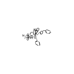 CS(=O)(=O)Nc1ccc(N=O)c(P(=O)(CCOCc2ccccc2)OCc2ccccc2)c1